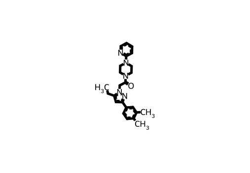 CCc1cc(-c2ccc(C)c(C)c2)nn1CC(=O)N1CCN(c2ccccn2)CC1